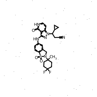 CC1(N2Cc3cc(Nc4nn(C(CC#N)C5CC5)c5cc[nH]c(=O)c45)ccc3S2(=O)=O)CCC(F)(F)CC1